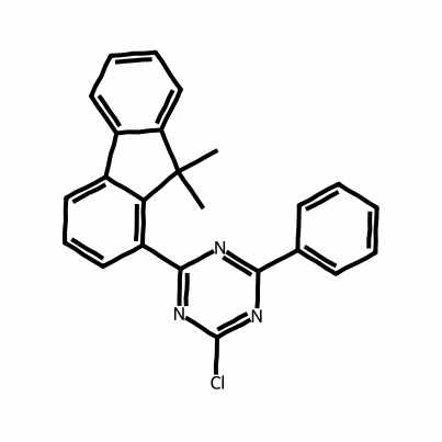 CC1(C)c2ccccc2-c2cccc(-c3nc(Cl)nc(-c4ccccc4)n3)c21